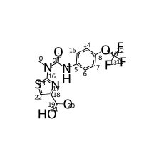 CN(C(=O)Nc1ccc(OC(F)(F)F)cc1)c1nc(C(=O)O)cs1